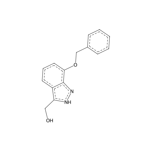 OCc1[nH]nc2c(OCc3ccccc3)cccc12